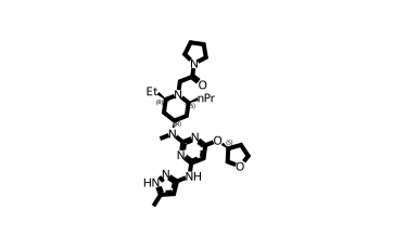 CCC[C@H]1C[C@H](N(C)c2nc(Nc3cc(C)[nH]n3)cc(O[C@H]3CCOC3)n2)C[C@@H](CC)N1CC(=O)N1CCCC1